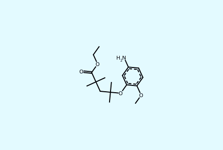 CCOC(=O)C(C)(C)CC(C)(C)Oc1cc(N)ccc1OC